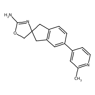 Cc1cc(-c2ccc3c(c2)CC2(COC(N)=N2)C3)ccn1